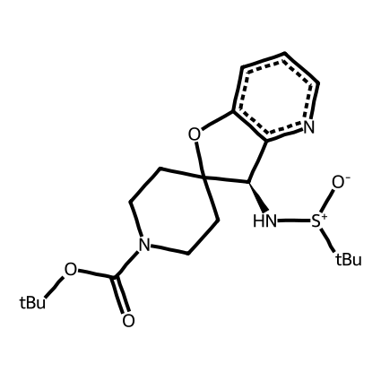 CC(C)(C)OC(=O)N1CCC2(CC1)Oc1cccnc1[C@H]2N[S+]([O-])C(C)(C)C